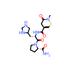 CN1SC=C(C(=O)N[C@@H](CC2CNCN2)C(=O)N2CCC[C@H]2C(N)=O)CC1=O